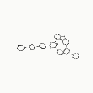 c1ccc(-c2ccc(-c3ccc(-c4nc(-c5ccccc5)nc(-c5cccc6sc7ccc(-c8cccc(-c9ccccc9)c8)cc7c56)n4)cc3)cc2)cc1